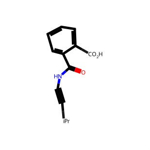 CC(C)C#CNC(=O)c1ccccc1C(=O)O